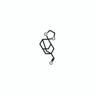 O=CC12CC3CC(C1)C1(OCCO1)C(C3)C2